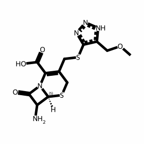 COCc1[nH]nnc1SCC1=C(C(=O)O)N2C(=O)C(N)[C@@H]2SC1